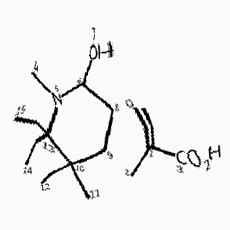 C=C(C)C(=O)O.CN1C(O)CCC(C)(C)C1(C)C